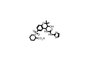 CC1(C)Oc2ccc(S(=O)(=O)N3CCCCC3C(=O)O)cc2C(NC(=O)Nc2nccs2)C1O